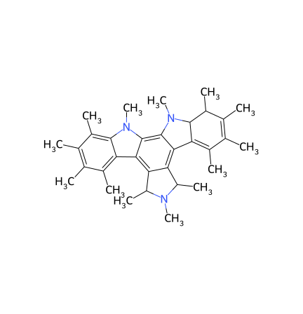 CC1=C(C)C(C)C2C(=C1C)c1c3c(c4c5c(C)c(C)c(C)c(C)c5n(C)c4c1N2C)C(C)N(C)C3C